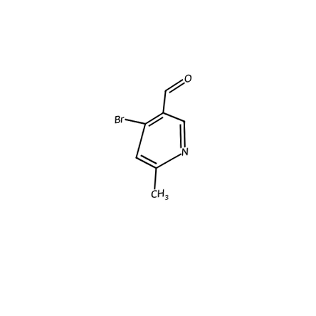 Cc1cc(Br)c(C=O)cn1